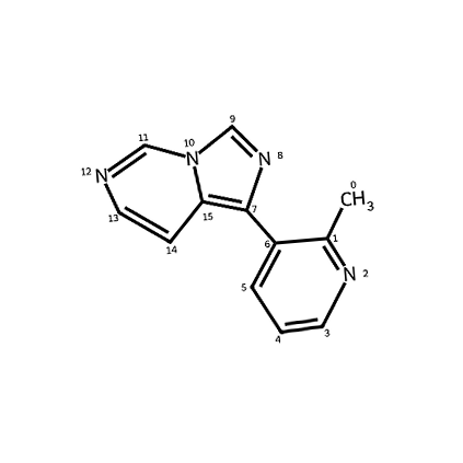 Cc1ncccc1-c1ncn2cnccc12